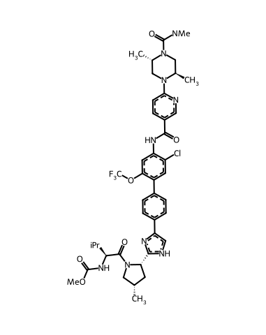 CNC(=O)N1C[C@@H](C)N(c2ccc(C(=O)Nc3cc(OC(F)(F)F)c(-c4ccc(-c5c[nH]c([C@@H]6C[C@H](C)CN6C(=O)[C@@H](NC(=O)OC)C(C)C)n5)cc4)cc3Cl)cn2)C[C@@H]1C